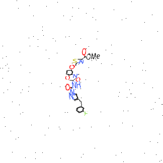 COC(=O)c1csc(COc2ccc3c(c2)N(C)C(=O)[C@@H](NC(=O)n2cc(Cc4cccc(F)c4)cn2)CO3)n1